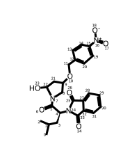 CC(C)C[C@@H](C(=O)N1CC(OCc2ccc([N+](=O)[O-])cc2)CC1O)N1C(=O)c2ccccc2C1=O